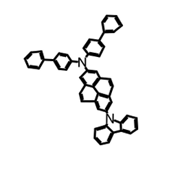 c1ccc(-c2ccc(N(c3ccc(-c4ccccc4)cc3)c3cc4ccc5cc(-n6c7ccccc7c7ccccc76)cc6ccc(c3)c4c56)cc2)cc1